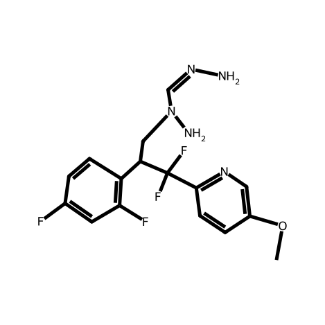 COc1ccc(C(F)(F)C(CN(N)/C=N\N)c2ccc(F)cc2F)nc1